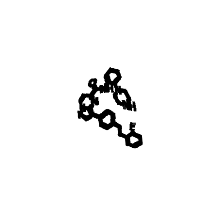 O=C(Nc1ccccc1N1CCNCC1)c1ccn2ncc(-c3ccc(CCc4ccccc4F)cc3)c2n1